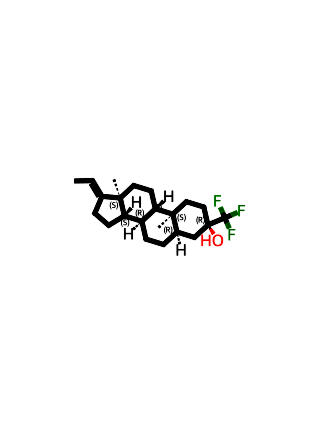 CC=C1CC[C@H]2[C@@H]3CC[C@@H]4C[C@@](O)(C(F)(F)F)CC[C@]4(C)[C@H]3CC[C@]12C